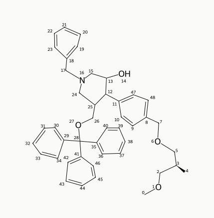 COC[C@H](C)COCc1ccc(C2C(O)CN(Cc3ccccc3)CC2COC(c2ccccc2)(c2ccccc2)c2ccccc2)cc1